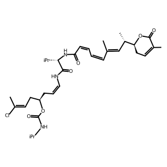 CC1=CC[C@@H]([C@@H](C)/C=C(C)/C=C\C=C/C(=O)N[C@H](C(=O)N/C=C\C[C@H](C/C=C(\C)Cl)OC(=O)NC(C)C)C(C)C)OC1=O